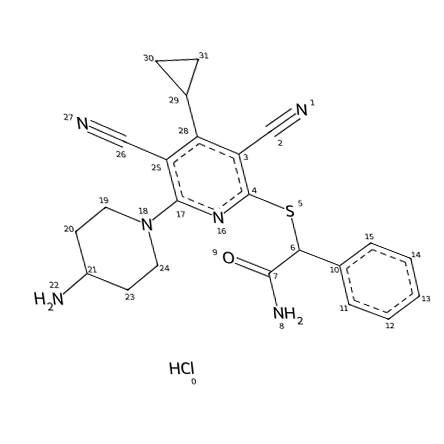 Cl.N#Cc1c(SC(C(N)=O)c2ccccc2)nc(N2CCC(N)CC2)c(C#N)c1C1CC1